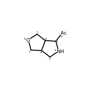 CC(=O)C1NCC2COCC21